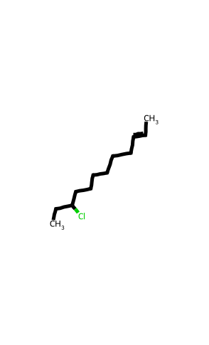 C/C=C/CCCCCCC(Cl)CC